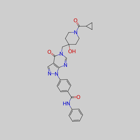 O=C(Nc1ccccc1)c1ccc(-n2ncc3c(=O)n(CC4(O)CCN(C(=O)C5CC5)CC4)cnc32)cc1